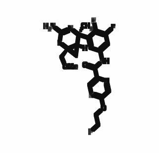 COC[C@]12C[C@H]1[C@](C)(c1cc(NC(=O)c3cnc(OCCF)cn3)cc(F)c1F)N=C(N)S2